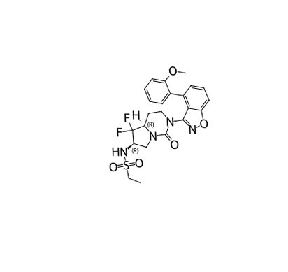 CCS(=O)(=O)N[C@@H]1CN2C(=O)N(c3noc4cccc(-c5ccccc5OC)c34)CC[C@@H]2C1(F)F